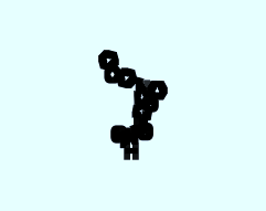 CC(=O)NCC(=O)N1CCC2(CC1)CCN(Cc1ccc(Oc3ccccc3)cc1)c1ccccc1O2